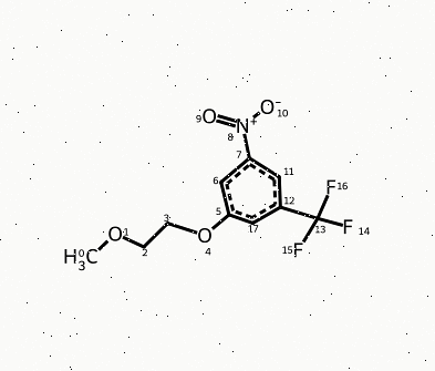 COCCOc1cc([N+](=O)[O-])cc(C(F)(F)F)c1